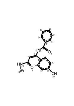 CC(C)NC(=O)C=C(NC(=O)c1ccccc1)c1ccc(C#N)cc1